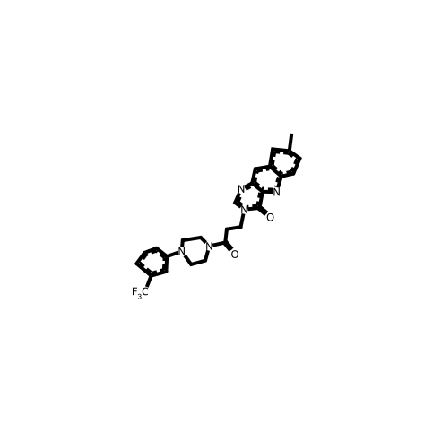 Cc1ccc2nc3c(=O)n(CCC(=O)N4CCN(c5cccc(C(F)(F)F)c5)CC4)cnc3cc2c1